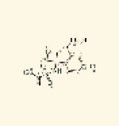 CC(C)(C)NS(=O)(=O)NC1(c2ccc(Cl)cc2CC(=O)O)COC1